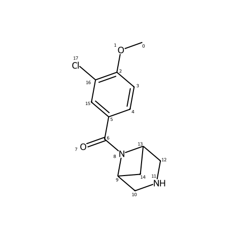 COc1ccc(C(=O)N2C3CNCC2C3)cc1Cl